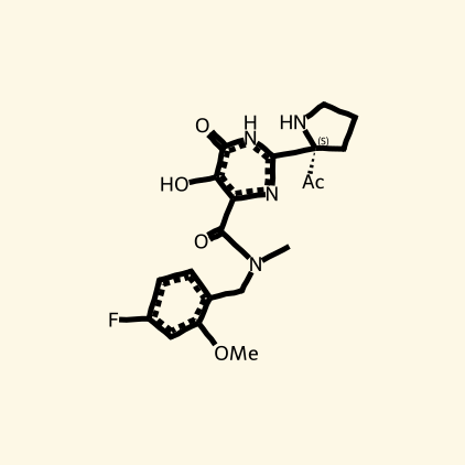 COc1cc(F)ccc1CN(C)C(=O)c1nc([C@]2(C(C)=O)CCCN2)[nH]c(=O)c1O